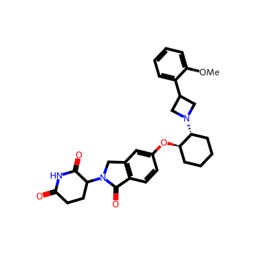 COc1ccccc1C1CN([C@@H]2CCCC[C@H]2Oc2ccc3c(c2)CN(C2CCC(=O)NC2=O)C3=O)C1